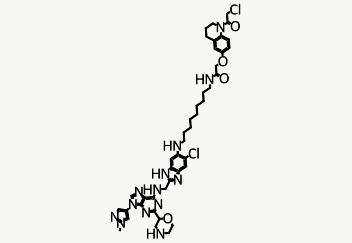 Cn1cc(-n2cnc3c(NCc4nc5cc(Cl)c(NCCCCCCCCCNC(=O)COc6ccc7c(c6)CCCN7C(=O)CCl)cc5[nH]4)nc(C4CNCCO4)nc32)cn1